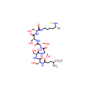 CC(=O)[C@H](CCCCNC(=O)[C@H](CO)NC(=O)[C@H](CO)NC(=O)[C@H](CO)NC(=O)[C@H](CO)NC(=O)[C@H](CO)NC(=O)[C@H](CO)NC(=O)CC[C@H](C)C(=O)O)NS